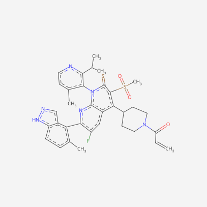 C=CC(=O)N1CCC(c2c(S(C)(=O)=O)c(=S)n(-c3c(C)ccnc3C(C)C)c3nc(-c4c(C)ccc5[nH]ncc45)c(F)cc23)CC1